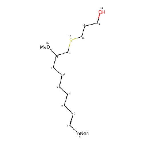 CCCCCCCCCCCCCCCCC(CSCCCO)OC